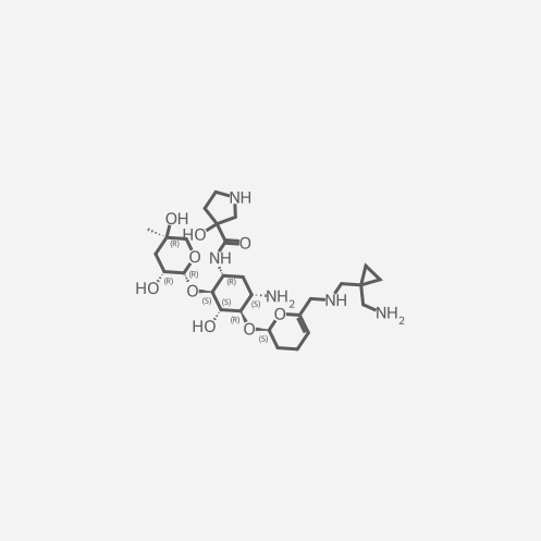 C[C@]1(O)CO[C@H](O[C@@H]2[C@@H](O)[C@H](O[C@@H]3CCC=C(CNCC4(CN)CC4)O3)[C@@H](N)C[C@H]2NC(=O)C2(O)CCNC2)[C@H](O)C1